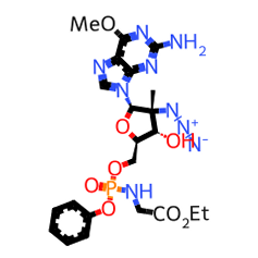 CCOC(=O)CNP(=O)(OC[C@H]1O[C@@H](n2cnc3c(OC)nc(N)nc32)[C@](C)(N=[N+]=[N-])[C@@H]1O)Oc1ccccc1